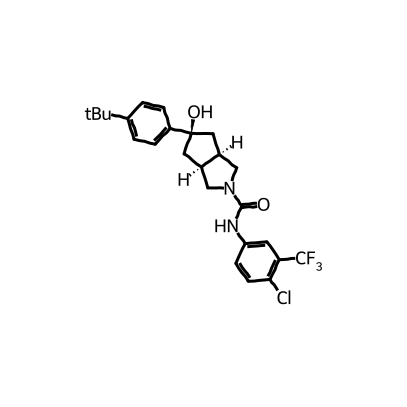 CC(C)(C)c1ccc([C@]2(O)C[C@H]3CN(C(=O)Nc4ccc(Cl)c(C(F)(F)F)c4)C[C@H]3C2)cc1